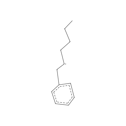 CCCC[C]Cc1ccccc1